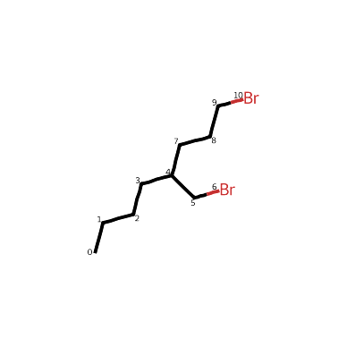 CCCCC(CBr)CCCBr